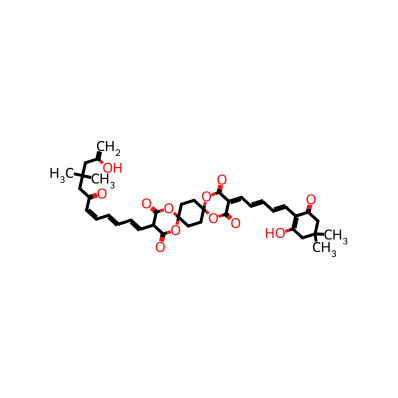 C=C(O)CC(C)(C)CC(=O)\C=C/C=C/C=C/C1C(=O)OC2(CCC3(CC2)OC(=O)C(=C/C=C/C=C/C2=C(O)CC(C)(C)CC2=O)C(=O)O3)OC1=O